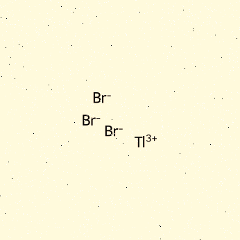 [Br-].[Br-].[Br-].[Tl+3]